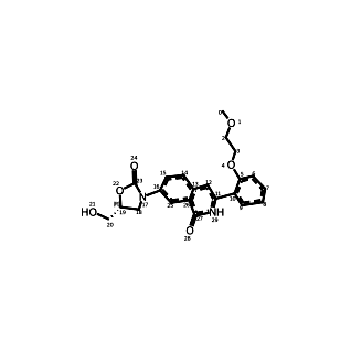 COCCOc1ccccc1-c1cc2ccc(N3C[C@H](CO)OC3=O)cc2c(=O)[nH]1